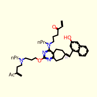 C=CC(=O)CCCN(CCC)c1nc(OCCCN(CCC)CCC(=C)C(C)=O)nc2c1CC/C(=C\c1cc(O)cc3ccccc13)CC2